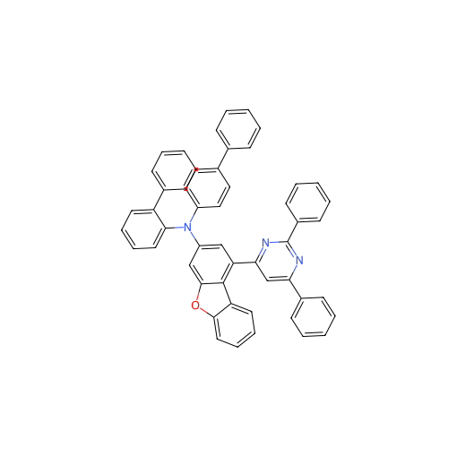 c1ccc(-c2ccc(N(c3cc(-c4cc(-c5ccccc5)nc(-c5ccccc5)n4)c4c(c3)oc3ccccc34)c3ccccc3-c3ccccc3)cc2)cc1